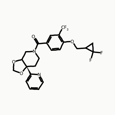 O=C(c1ccc(OCC2CC2(F)F)c(C(F)(F)F)c1)N1CC[C@]2(c3ccccn3)OCOC2C1